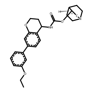 CCOc1cccc(-c2ccc3c(c2)OCCC3NC(=O)O[C@@H]2CN3CCC2CC3)c1